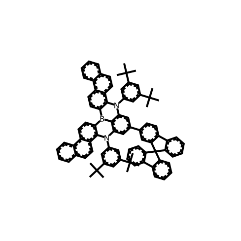 CC(C)(C)c1cc(N2c3cc(-c4ccc5c(c4)C4(c6ccccc6-c6ccccc64)c4ccccc4-5)cc4c3B(c3ccc5c(ccc6ccccc65)c32)c2ccc3c(ccc5ccccc53)c2N4c2cc(C(C)(C)C)cc(C(C)(C)C)c2)cc(C(C)(C)C)c1